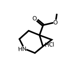 COC(=O)C12CCNCC1C2.Cl